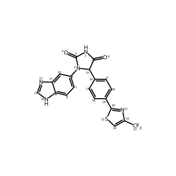 O=C1NC(=O)N(c2ccc3[nH]cnc3c2)C1c1ccc(-c2nc(C(F)(F)F)cs2)cc1